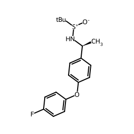 C[C@H](N[S+]([O-])C(C)(C)C)c1ccc(Oc2ccc(F)cc2)cc1